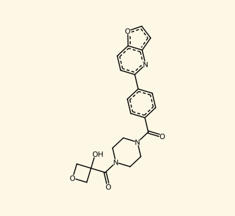 O=C(c1ccc(-c2ccc3occc3n2)cc1)N1CCN(C(=O)C2(O)COC2)CC1